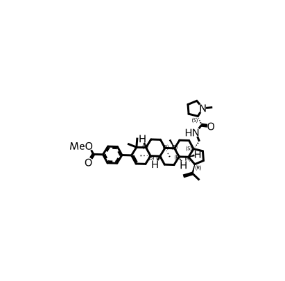 C=C(C)[C@@H]1CC[C@]2(CNC(=O)[C@@H]3CCCN3C)CC[C@]3(C)[C@H](CC[C@@H]4[C@@]5(C)CC=C(c6ccc(C(=O)OC)cc6)C(C)(C)[C@@H]5CC[C@]43C)[C@@H]12